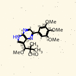 COc1cc(-c2cnc3[nH]cc(C(OC)C(C)(C)C=O)c3n2)cc(OC)c1OC